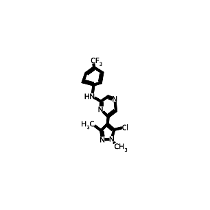 Cc1nn(C)c(Cl)c1-c1cncc(Nc2ccc(C(F)(F)F)cc2)n1